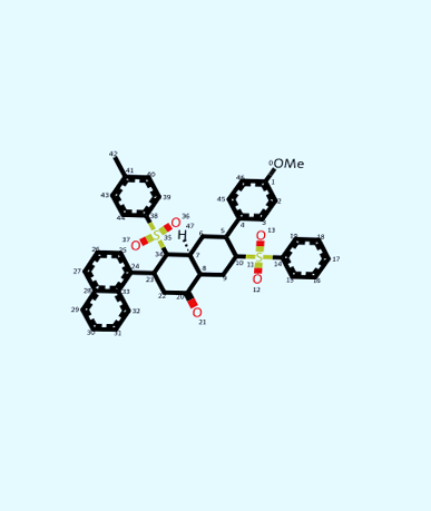 COc1ccc(C2C[C@H]3C(CC2S(=O)(=O)c2ccccc2)C(=O)CC(c2cccc4ccccc24)C3S(=O)(=O)c2ccc(C)cc2)cc1